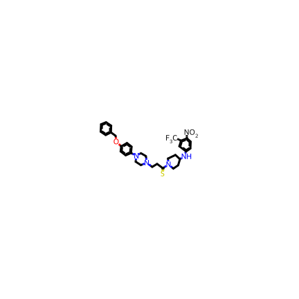 O=[N+]([O-])c1ccc(NC2CCN(C(=S)CCN3CCN(c4ccc(OCc5ccccc5)cc4)CC3)CC2)cc1C(F)(F)F